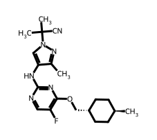 Cc1nn(C(C)(C)C#N)cc1Nc1ncc(F)c(OC[C@H]2CC[C@H](C)CC2)n1